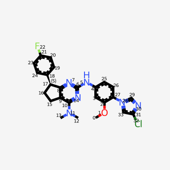 COc1cc(Nc2nc3c(c(N(C)C)n2)CC[C@H]3c2ccc(F)cc2)ccc1-n1cnc(Cl)c1